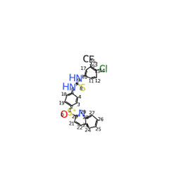 [O-][S+](c1ccc(NC(=S)Nc2ccc(Cl)c(C(F)(F)F)c2)cc1)c1ccc2ccccc2n1